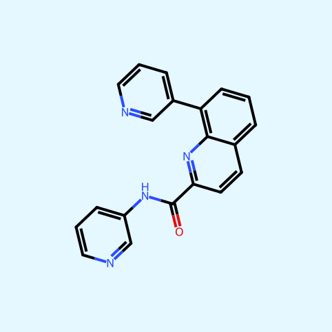 O=C(Nc1cccnc1)c1ccc2cccc(-c3cccnc3)c2n1